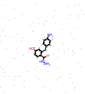 NNC(=O)c1ccc(O)cc1Cc1ccc(N)cc1